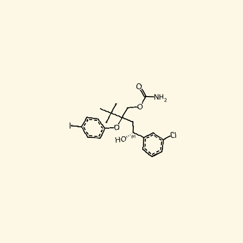 CC(C)(C)C(COC(N)=O)(C[C@@H](O)c1cccc(Cl)c1)Oc1ccc(I)cc1